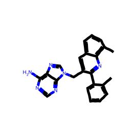 Cc1ccccc1-c1nc2c(C)cccc2cc1Cn1cnc2c(N)ncnc21